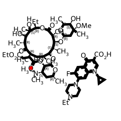 CCN1CCN(c2cc3c(cc2F)c(=O)c(C(=O)O)cn3C2CC2)CC1.CCOC(=O)CCC(=O)O[C@H]1[C@H](O[C@@H]2[C@@H](C)[C@H](O[C@H]3C[C@@](C)(OC)[C@@H](O)[C@H](C)O3)[C@@H](C)C(=O)O[C@H](CC)[C@@](C)(O)[C@H](O)[C@@H](C)C(=O)[C@H](C)C[C@@]2(C)O)O[C@H](C)C[C@@H]1N(C)C